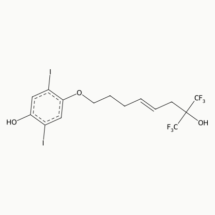 Oc1cc(I)c(OCCCC=CCC(O)(C(F)(F)F)C(F)(F)F)cc1I